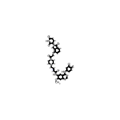 COc1cc2ncnc(Nc3ccc(F)c(Cl)c3)c2cc1NC(=O)/C=C/CN1CCN(C(=O)CSc2cccc3c2CN(C2CCC(=O)NC2=O)C3=O)CC1